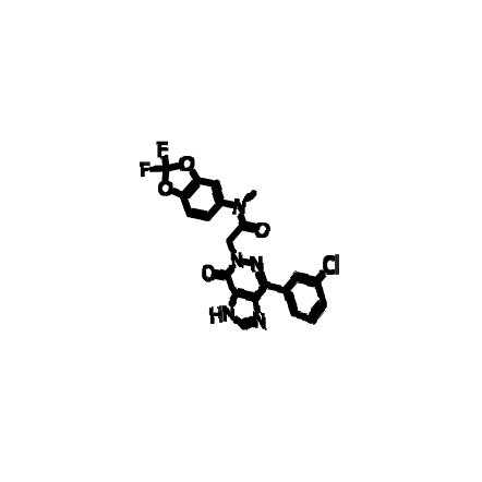 CN(C(=O)Cn1nc(-c2cccc(Cl)c2)c2nc[nH]c2c1=O)c1ccc2c(c1)OC(F)(F)O2